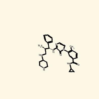 Cc1ccc(C(=O)NC2CC2)cc1-n1ccnc(N[C@@H](c2ccccc2)[C@H](C)CNC2CCNCC2)c1=O